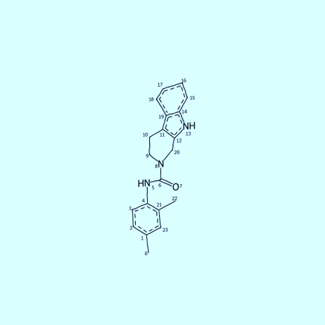 Cc1ccc(NC(=O)N2CCc3c([nH]c4ccccc34)C2)c(C)c1